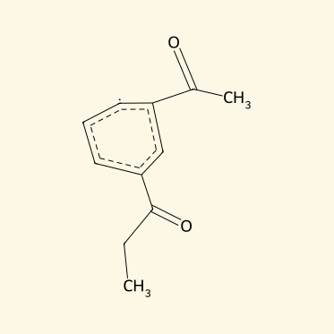 CCC(=O)c1cc[c]c(C(C)=O)c1